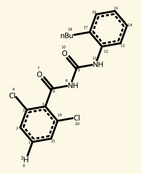 [3H]c1cc(Cl)c(C(=O)NC(=O)Nc2ccccc2CCCC)c(Cl)c1